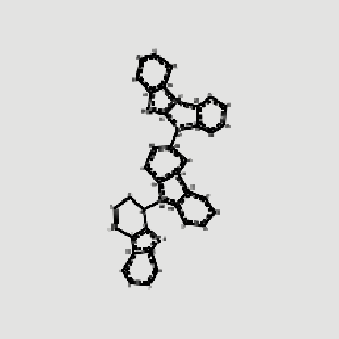 C1=Nc2c(sc3ccccc23)C(n2c3ccccc3c3cc(-n4c5ccccc5n5c6ccccc6nc45)ccc32)C1